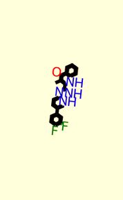 Cc1c(C(=N)/N=c2/ccc(-c3ccc(F)c(F)c3)c[nH]2)[nH]c2ccccc2c1=O